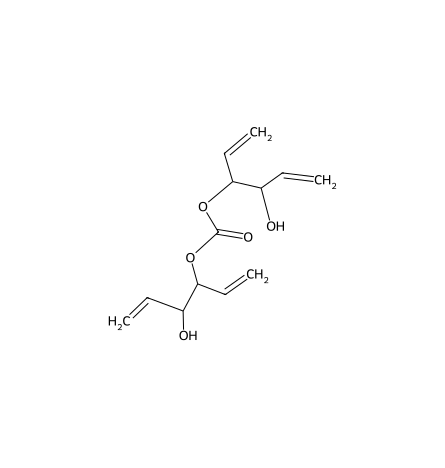 C=CC(O)C(C=C)OC(=O)OC(C=C)C(O)C=C